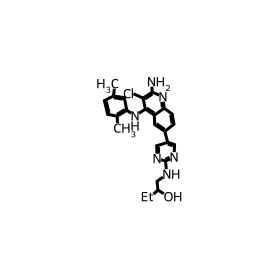 CCC(O)CNc1ncc(-c2ccc3nc(N)c(Cl)c(Nc4cc(C)ccc4C)c3c2)cn1